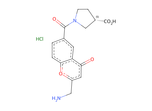 Cl.NCc1cc(=O)c2cc(C(=O)N3CC[C@H](C(=O)O)C3)ccc2o1